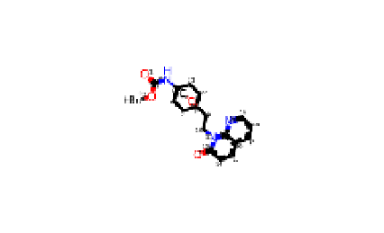 CC(C)(C)OC(=O)NC12CCC(CCn3c(=O)ccc4cccnc43)(CC1)OC2